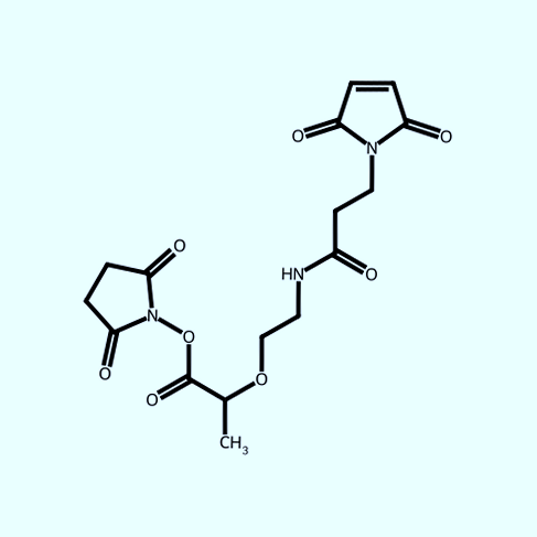 CC(OCCNC(=O)CCN1C(=O)C=CC1=O)C(=O)ON1C(=O)CCC1=O